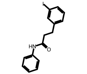 O=C(CCc1cccc(I)c1)Nc1ccccc1